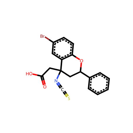 O=C(O)CC1(N=C=S)CC(c2ccccc2)Oc2ccc(Br)cc21